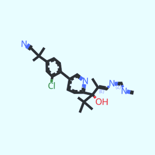 C=N/C=N\C=C(/C)C(O)(c1ccc(-c2ccc(C(C)(C)C#N)cc2Cl)cn1)C(C)(C)C